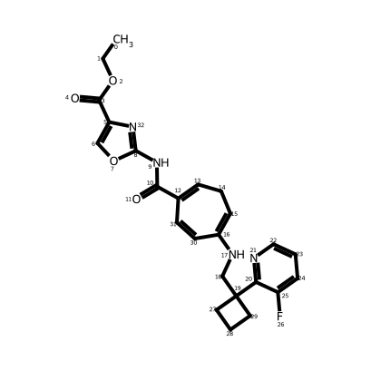 CCOC(=O)c1coc(NC(=O)C2=CCC=C(NCC3(c4ncccc4F)CCC3)C=C2)n1